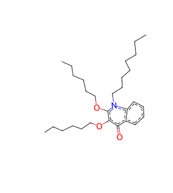 CCCCCCCCn1c(OCCCCCC)c(OCCCCCC)c(=O)c2ccccc21